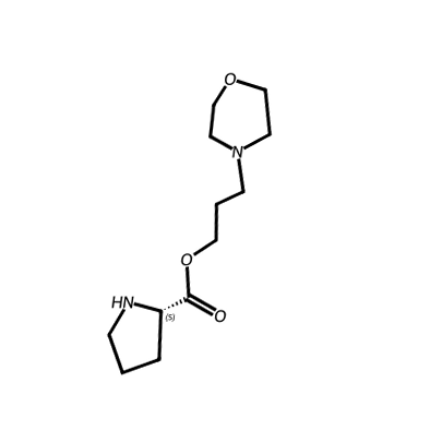 O=C(OCCCN1CCOCC1)[C@@H]1CCCN1